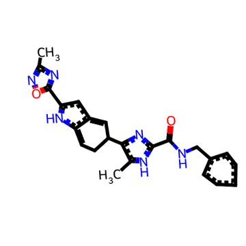 Cc1noc(-c2cc3c([nH]2)=CCC(c2nc(C(=O)NCc4ccccc4)[nH]c2C)C=3)n1